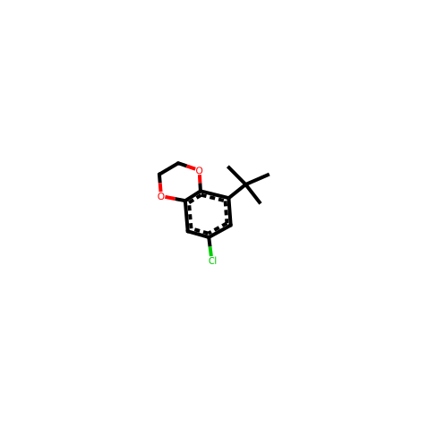 CC(C)(C)c1cc(Cl)cc2c1OCCO2